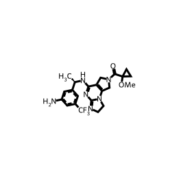 COC1(C(=O)N2CC3=C(C2)N2CCN=C2N=C3N[C@H](C)c2cc(N)cc(C(F)(F)F)c2)CC1